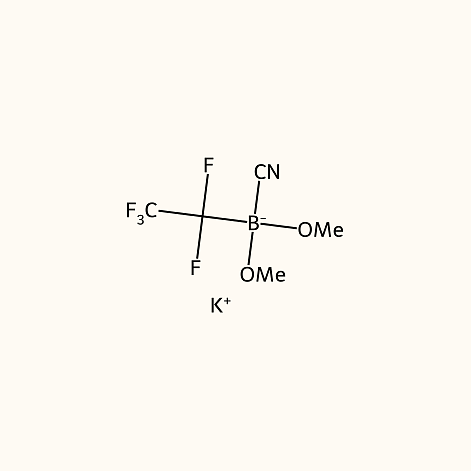 CO[B-](C#N)(OC)C(F)(F)C(F)(F)F.[K+]